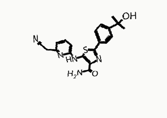 CC(C)(O)c1ccc(-c2nc(C(N)=O)c(Nc3cccc(CC#N)n3)s2)cc1